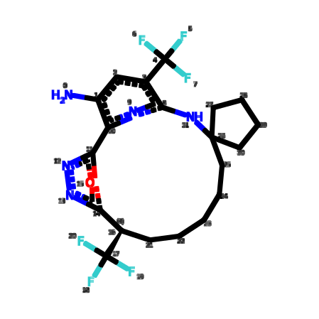 Nc1cc(C(F)(F)F)c2nc1-c1nnc(o1)[C@H](C(F)(F)F)CCCCCC1(CCCC1)N2